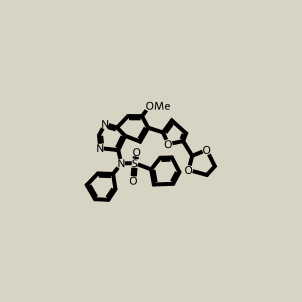 COc1cc2ncnc(N(c3ccccc3)S(=O)(=O)c3ccccc3)c2cc1-c1ccc(C2OCCO2)o1